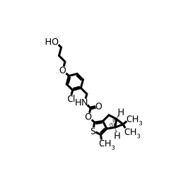 Cc1sc(OC(=O)NCc2ccc(OCCCO)cc2Cl)c2c1[C@H]1[C@@H](C2)C1(C)C